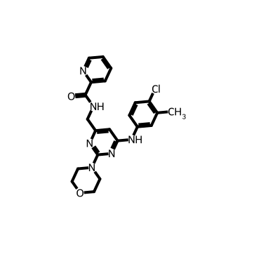 Cc1cc(Nc2cc(CNC(=O)c3ccccn3)nc(N3CCOCC3)n2)ccc1Cl